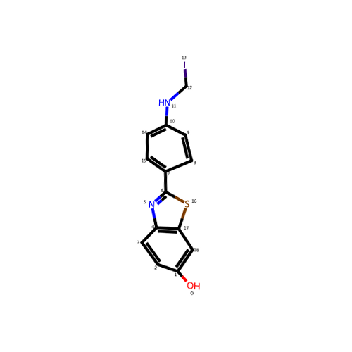 Oc1ccc2nc(-c3ccc(NCI)cc3)sc2c1